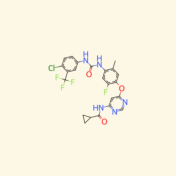 Cc1cc(Oc2cc(NC(=O)C3CC3)ncn2)c(F)cc1NC(=O)Nc1ccc(Cl)c(C(F)(F)F)c1